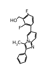 Cc1c(-c2ccccc2)nc2ccc(-c3ccc(F)c(CO)c3F)cn12